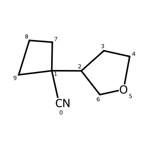 N#CC1(C2CCOC2)CCC1